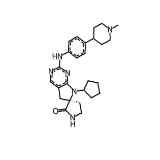 CN1CCC(c2ccc(Nc3ncc4c(n3)N(C3CCCC3)[C@]3(CCNC3=O)C4)cc2)CC1